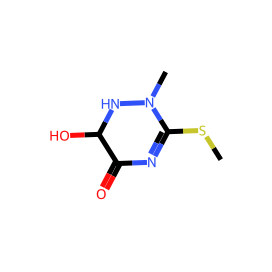 CSC1=NC(=O)C(O)NN1C